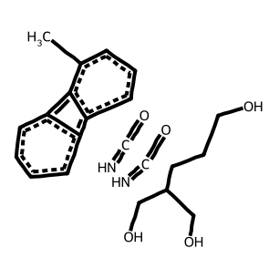 Cc1cccc2c1=c1ccccc1=2.N=C=O.N=C=O.OCCCC(CO)CO